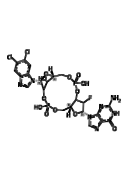 Nc1nc2c(ncn2[C@@H]2O[C@@H]3COP(=O)(O)OC4C(O)[C@@H](COP(=O)(O)OC3C2F)O[C@H]4n2cnc3cc(Cl)c(Cl)cc32)c(=O)[nH]1